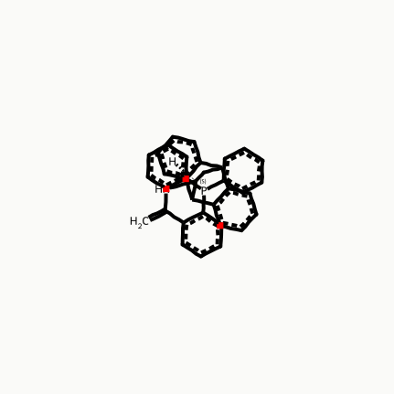 C=C(N[C@H]1CC2c3ccccc3C1c1ccccc12)c1ccccc1P(c1ccccc1)c1ccccc1